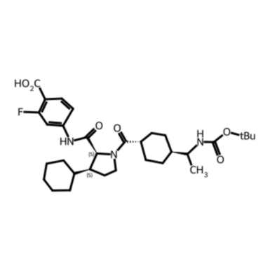 CC(NC(=O)OC(C)(C)C)[C@H]1CC[C@H](C(=O)N2CC[C@@H](C3CCCCC3)[C@H]2C(=O)Nc2ccc(C(=O)O)c(F)c2)CC1